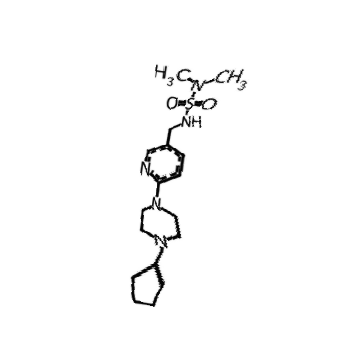 CN(C)S(=O)(=O)NCc1ccc(N2CCN(C3CCCC3)CC2)nc1